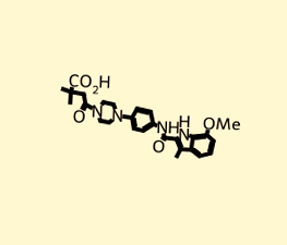 COc1cccc2c(C)c(C(=O)Nc3ccc(N4CCN(C(=O)CC(C)(C)C(=O)O)CC4)cc3)[nH]c12